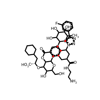 CC1OC(OC2C(OC3OC(CO)C(O)C(O[C@@H](CC4CCCCC4)C(=O)O)C3OC(=O)c3ccccc3)CC(C(=O)NCCN)CC2n2cc(-c3cccc(F)c3)nn2)C(O)C(O)C1O